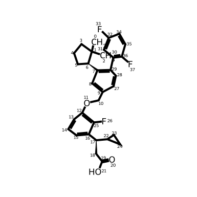 CC1(C)CCC[C@@H]1c1cc(COc2cccc([C@H](CC(=O)O)C3CC3)c2F)ccc1-c1cc(F)ccc1F